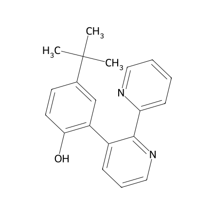 CC(C)(C)c1ccc(O)c(-c2cccnc2-c2ccccn2)c1